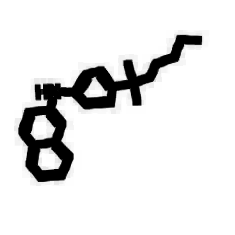 CCCCCC(C)(C)c1ccc(Nc2ccc3ccccc3c2)cc1